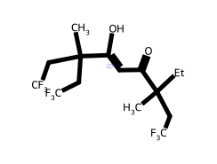 CCC(C)(CC(F)(F)F)C(=O)/C=C(\O)C(C)(CC(F)(F)F)CC(F)(F)F